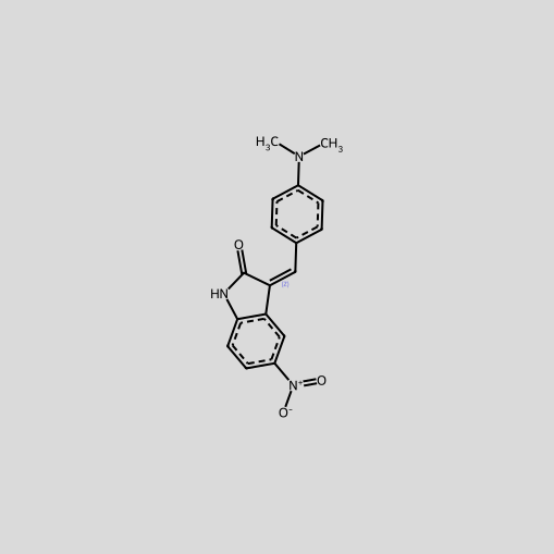 CN(C)c1ccc(/C=C2\C(=O)Nc3ccc([N+](=O)[O-])cc32)cc1